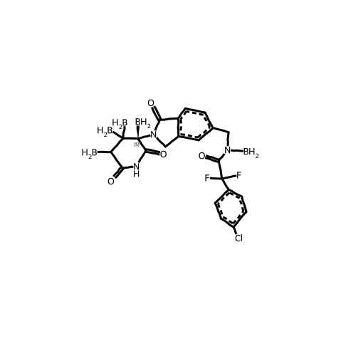 BC1C(=O)NC(=O)[C@@](B)(N2Cc3cc(CN(B)C(=O)C(F)(F)c4ccc(Cl)cc4)ccc3C2=O)C1(B)B